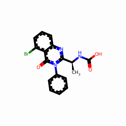 C[C@H](NC(=O)O)c1nc2cccc(Br)c2c(=O)n1-c1ccccc1